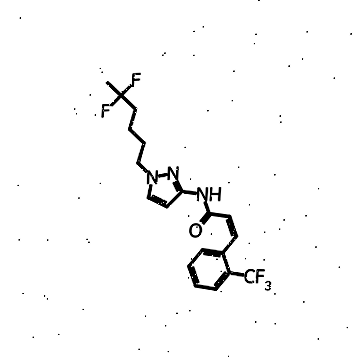 CC(F)(F)CCCCn1ccc(NC(=O)/C=C\c2ccccc2C(F)(F)F)n1